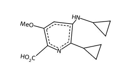 COc1cc(NC2CC2)c(C2CC2)nc1C(=O)O